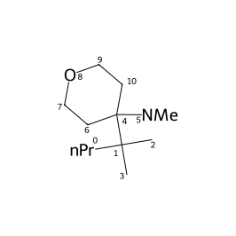 CCCC(C)(C)C1(NC)CCOCC1